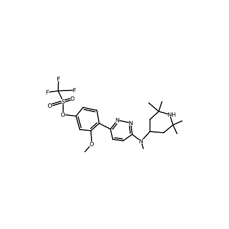 COc1cc(OS(=O)(=O)C(F)(F)F)ccc1-c1ccc(N(C)C2CC(C)(C)NC(C)(C)C2)nn1